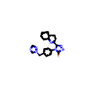 S=c1[nH]nc(-c2ccc3ccccc3n2)n1-c1ccc(Cn2cncn2)cc1